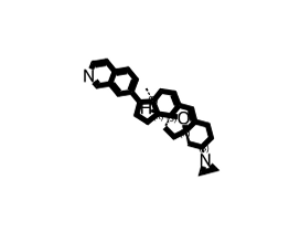 C[C@]12CC=C3C=C4CC[C@H](N5CC5)C[C@]45CC[C@]3(O5)[C@@H]1CCC2c1ccc2ccncc2c1